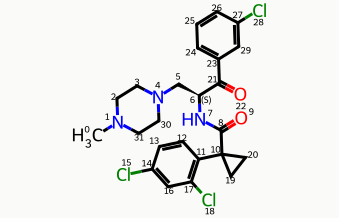 CN1CCN(C[C@H](NC(=O)C2(c3ccc(Cl)cc3Cl)CC2)C(=O)c2cccc(Cl)c2)CC1